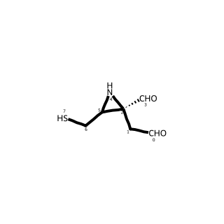 O=CC[C@]1(C=O)NC1CS